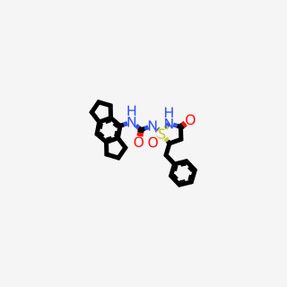 O=C1CC(Cc2ccccc2)S(=O)(=NC(=O)Nc2c3c(cc4c2CCC4)CCC3)N1